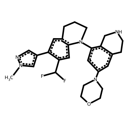 Cn1cc(-c2cc3c(cc2C(F)F)N(c2cc(N4CCOCC4)cc4c2CNCC4)CCC3)cn1